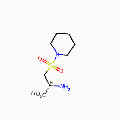 N[C@@H](CS(=O)(=O)N1CCCCC1)C(=O)O